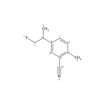 C[C](CF)c1ccc(C)c(C#N)c1